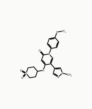 Cn1cc(-c2cn(-c3ccc(OC(F)(F)F)cc3)c(=O)cc2OC2CCS(=O)(=O)CC2)cn1